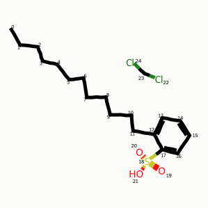 CCCCCCCCCCCCc1ccccc1S(=O)(=O)O.ClCCl